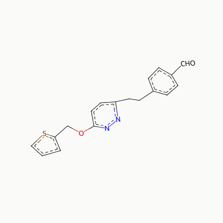 O=Cc1ccc(CCc2ccc(OCc3cccs3)nn2)cc1